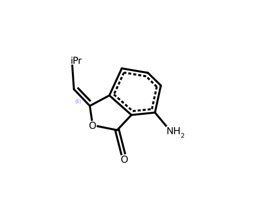 CC(C)/C=C1/OC(=O)c2c(N)cccc21